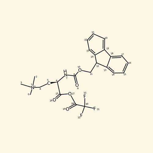 C[N+](C)(C)CC[C@@H](NC(=O)OCC1c2ccccc2-c2ccccc21)C(=O)OC(=O)C(F)(F)F